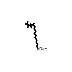 CCCCCCCCCCCCCCCCCCCCC(C)C(C)(C)C(C)=C(C)C